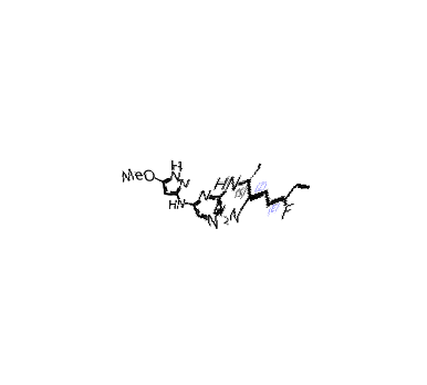 C=C/C(F)=C\C=C(/N)[C@H](C)Nc1cncc(Nc2cc(OC)[nH]n2)n1